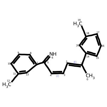 C/C(=C\C=C/C(=N)c1cccc(C)c1)c1cccc(C)c1